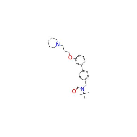 CC(C)(C)N([C]=O)Cc1ccc(-c2cccc(OCCCN3CCCCC3)c2)cc1